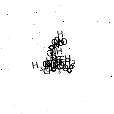 Cc1nn(C)c(C)c1-c1c(Cl)ccc2c(CCCOc3cccc4ccccc34)c(C(=O)OC(C)(C)C)n(CCN3CCC(C(=O)Nc4cccc5c4CN(C4CCC(=O)NC4=O)C5=O)CC3)c12